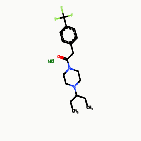 CCC(CC)N1CCN(C(=O)Cc2ccc(C(F)(F)F)cc2)CC1.Cl